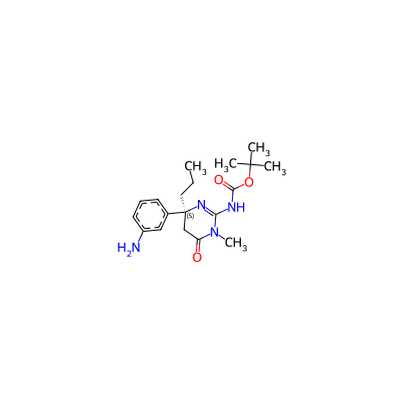 CCC[C@@]1(c2cccc(N)c2)CC(=O)N(C)C(NC(=O)OC(C)(C)C)=N1